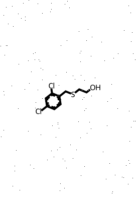 OCCSCc1ccc(Cl)cc1Cl